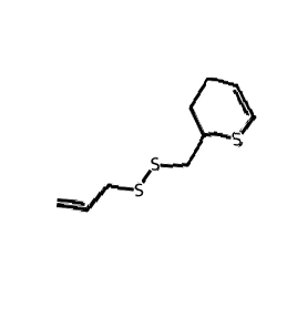 C=CCSSCC1CCC=CS1